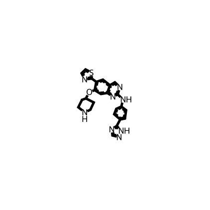 c1n[nH]c(-c2ccc(Nc3ncc4cc(-c5nccs5)c(OC5CCNCC5)cc4n3)cc2)n1